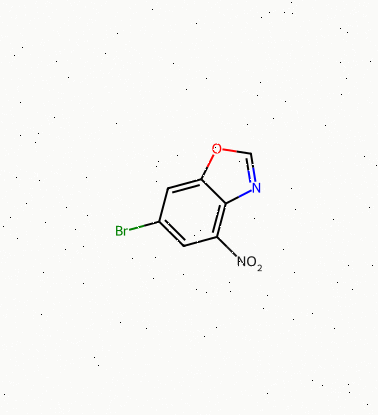 O=[N+]([O-])c1cc(Br)cc2ocnc12